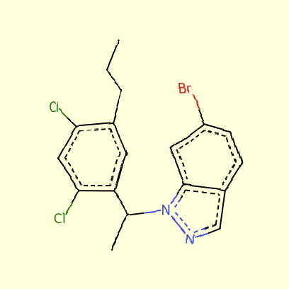 CCCc1cc(C(C)n2ncc3ccc(Br)cc32)c(Cl)cc1Cl